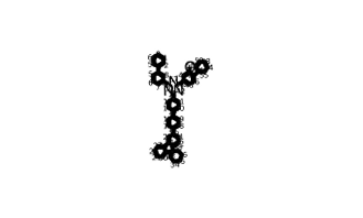 c1ccc(-c2cccc(-c3nc(-c4ccc(-c5ccc(-c6ccc7c(c6)-c6ccccc6C76CCCCC6)cc5)cc4)nc(-c4ccc5c(c4)oc4ccccc45)n3)c2)cc1